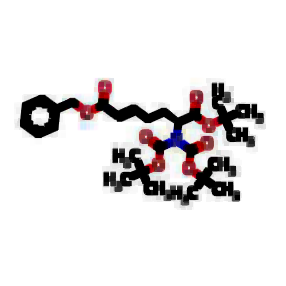 CC(C)(C)OC(=O)[C@H](CCC=CC(=O)OCc1ccccc1)N(C(=O)OC(C)(C)C)C(=O)OC(C)(C)C